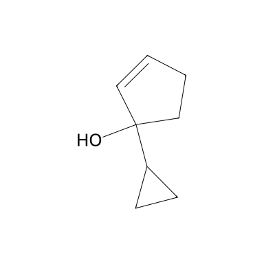 OC1(C2CC2)C=CCC1